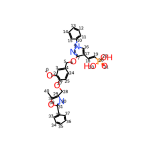 COc1cc(COc2nn(-c3ccccc3)cc2C=CP(=O)(O)O)ccc1OCc1nc(-c2ccccc2)oc1C